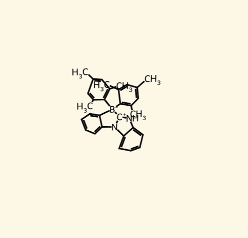 Cc1cc(C)c([B-]2(c3c(C)cc(C)cc3C)c3ccccc3-n3c4ccccc4[nH][c+]32)c(C)c1